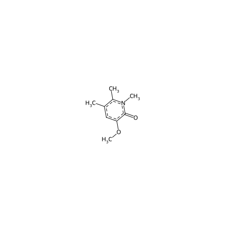 COc1cc(C)c(C)n(C)c1=O